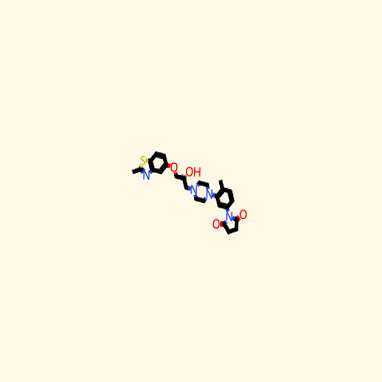 Cc1nc2cc(OC[C@H](O)CN3CCN(c4cc(N5C(=O)CCC5=O)ccc4C)CC3)ccc2s1